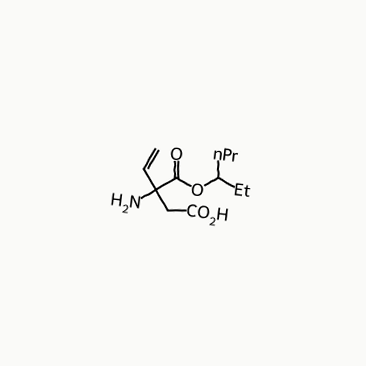 C=CC(N)(CC(=O)O)C(=O)OC(CC)CCC